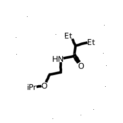 CCC(CC)C(=O)NCCOC(C)C